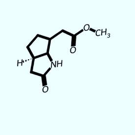 COC(=O)CC1CC[C@@H]2CC(=O)NC12